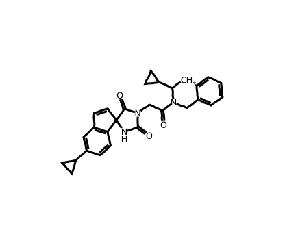 CC(C1CC1)N(Cc1ccccc1)C(=O)CN1C(=O)NC2(C=Cc3cc(C4CC4)ccc32)C1=O